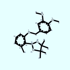 COc1ccc(COc2cccc(C)c2B2OC(C)(C)C(C)(C)O2)cc1OC